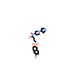 CN(C(=O)CCCS(=O)(=O)c1ccc2cc(Cl)ccc2c1)C1CCN(c2ccncc2)CC1